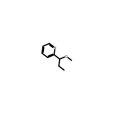 CCC(OC)c1ccccn1